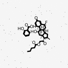 CCCCC(=O)OCC(=O)[C@H]1[C@H](C)C[C@H]2[C@@H]3C[C@H](F)C4=CC(=O)C=C[C@]4(C)[C@@]3(F)[C@@H](O)C[C@@]21C.O=C(O)c1ccccc1O